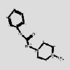 CN1CCN(NC(=O)Nc2cc[c]cc2)CC1